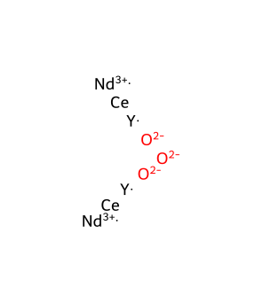 [Ce].[Ce].[Nd+3].[Nd+3].[O-2].[O-2].[O-2].[Y].[Y]